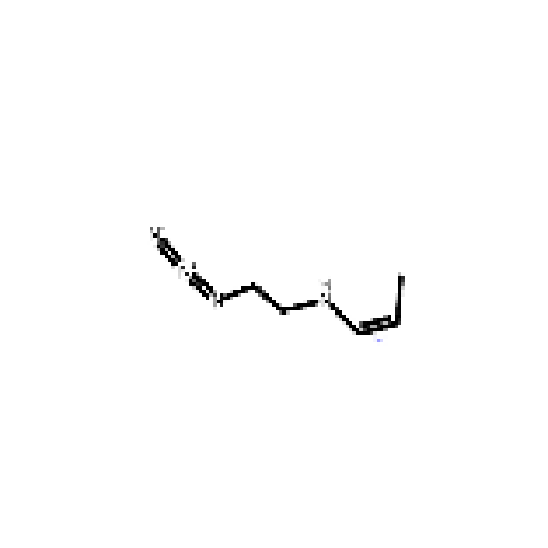 C/C=C\NCCN=[N+]=[N-]